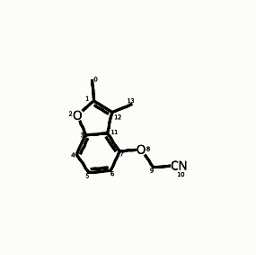 Cc1oc2cccc(OCC#N)c2c1C